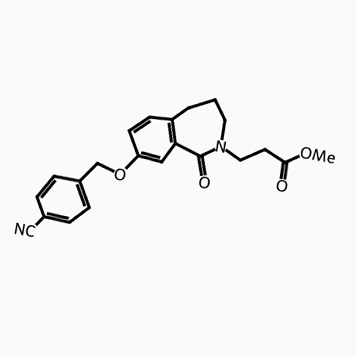 COC(=O)CCN1CCCc2ccc(OCc3ccc(C#N)cc3)cc2C1=O